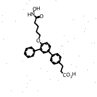 O=C(O)CCc1ccc(-c2ccc(OCCCCC(=O)NO)c(-c3ccccc3)c2)cc1